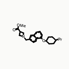 COC(=O)C1CN(Cc2ccc3c(OC4CCC(C(C)C)CC4)cccc3c2)C1